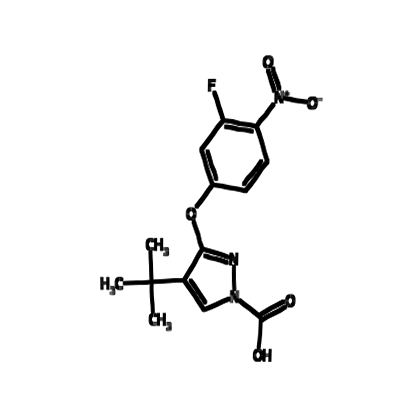 CC(C)(C)c1cn(C(=O)O)nc1Oc1ccc([N+](=O)[O-])c(F)c1